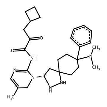 CC1=CN=C(NC(=O)C(=O)CC2CCC2)N([C@@H]2CC3(CCC(c4ccccc4)(N(C)C)CC3)NN2)C1